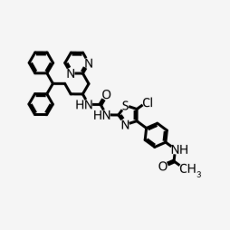 CC(=O)Nc1ccc(-c2nc(NC(=O)NC(CCC(c3ccccc3)c3ccccc3)Cc3ncccn3)sc2Cl)cc1